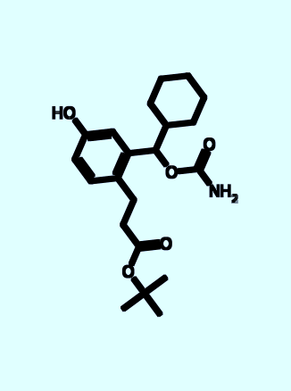 CC(C)(C)OC(=O)CCc1ccc(O)cc1C(OC(N)=O)C1CCCCC1